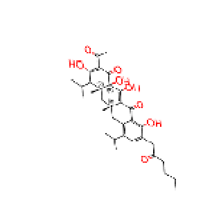 CCCCC(=O)Cc1cc(C(C)C)c2c(c1O)C(=O)C1=C(O)[C@@]3(O)C(=O)C(C(C)=O)=C(O)C(C(C)C)[C@@]3(C)C[C@@]1(C)C2